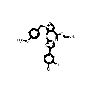 CCOC(=O)c1nnn(Cc2ccc(OC)cc2)c1Sc1ncc(-c2ccc(Cl)c(Cl)c2)s1